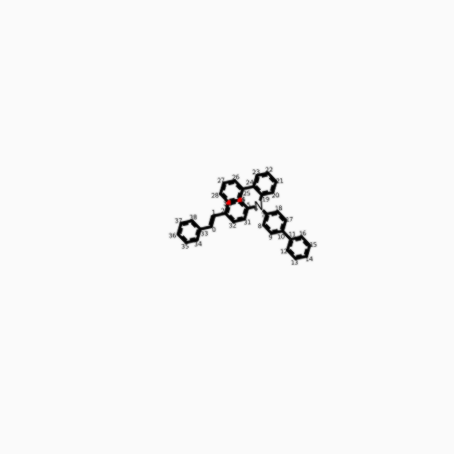 C(=C\c1ccc(N(c2ccc(-c3ccccc3)cc2)c2ccccc2-c2ccccc2)cc1)/c1ccccc1